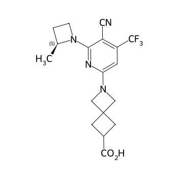 C[C@H]1CCN1c1nc(N2CC3(CC(C(=O)O)C3)C2)cc(C(F)(F)F)c1C#N